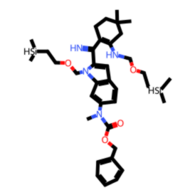 CN(C(=O)OCc1ccccc1)c1ccc2cc(C(=N)C3=C(NCOCC[SiH](C)C)CC(C)(C)CC3)n(COCC[SiH](C)C)c2c1